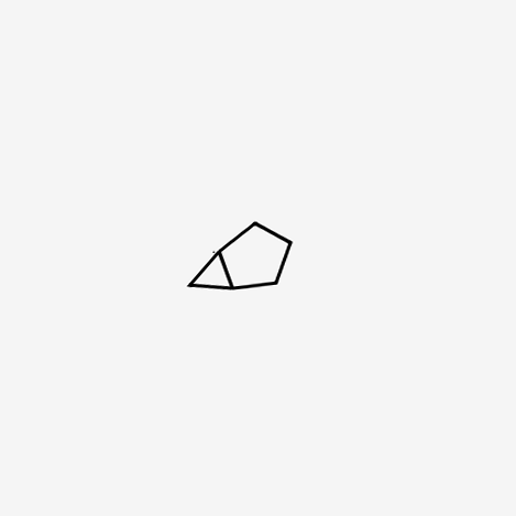 C1C[C]2CC2C1